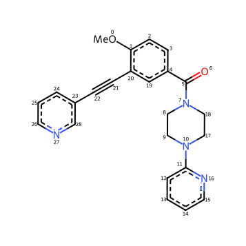 COc1ccc(C(=O)N2CCN(c3ccccn3)CC2)cc1C#Cc1cccnc1